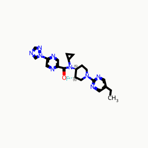 CCc1cnc(N2CC[C@H](N(C(=O)c3cnc(-n4cncn4)cn3)C3CC3)[C@@H](F)C2)nc1